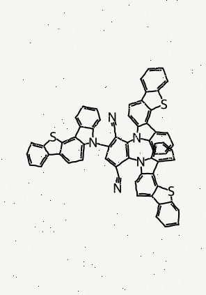 N#Cc1cc(-n2c3ccccc3c3c4sc5ccccc5c4ccc32)c(C#N)c(-n2c3ccccc3c3c4sc5ccccc5c4ccc32)c1-n1c2ccccc2c2c3sc4ccccc4c3ccc21